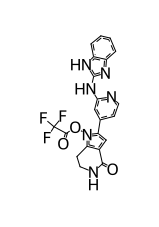 O=C1NCCc2c1cc(-c1ccnc(Nc3nc4ccccc4[nH]3)c1)n2OC(=O)C(F)(F)F